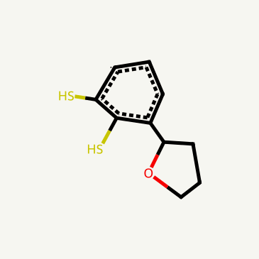 Sc1[c]ccc(C2CCCO2)c1S